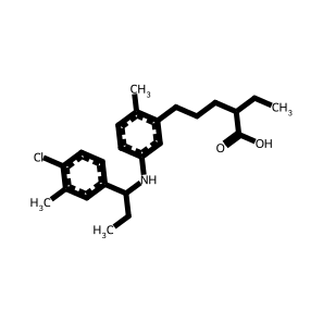 CCC(CCCc1cc(NC(CC)c2ccc(Cl)c(C)c2)ccc1C)C(=O)O